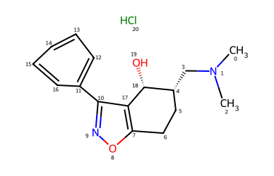 CN(C)C[C@@H]1CCc2onc(-c3ccccc3)c2[C@@H]1O.Cl